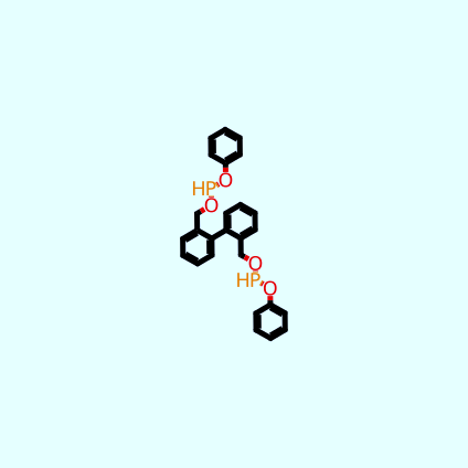 c1ccc(OPOCc2ccccc2-c2ccccc2COPOc2ccccc2)cc1